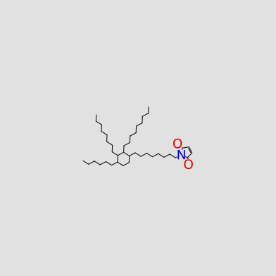 CCCCCCCCCC1C(CCCCCCCCN2C(=O)C=CC2=O)CCC(CCCCCC)C1CCCCCCCC